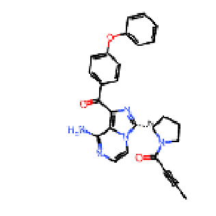 CC#CC(=O)N1CCC[C@H]1c1nc(C(=O)c2ccc(Oc3ccccc3)cc2)c2c(N)nccn12